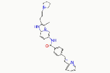 CC1=C(CCCN2CCCC2)NC2C=CC(NC(=O)c3ccc(/C=C/c4ccccn4)cc3)=CN12